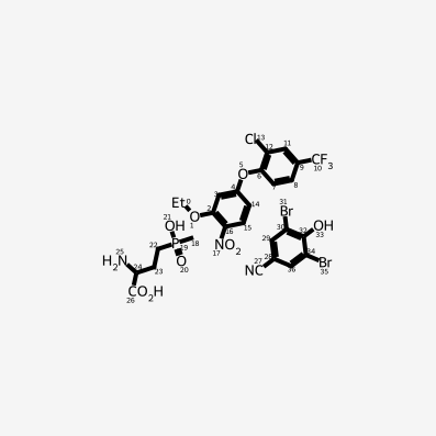 CCOc1cc(Oc2ccc(C(F)(F)F)cc2Cl)ccc1[N+](=O)[O-].CP(=O)(O)CCC(N)C(=O)O.N#Cc1cc(Br)c(O)c(Br)c1